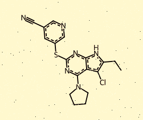 CCc1[nH]c2nc(Sc3cncc(C#N)c3)nc(N3CCCC3)c2c1Cl